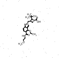 CCOc1c(C(=O)NCCOC)ccc2nn(CC3CN(C(=O)O)C3C(C)(C)C)cc12